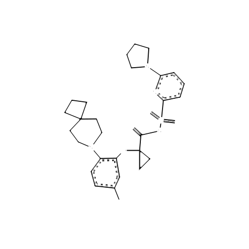 O=C(NS(=O)(=O)c1cccc(N2CCCC2)n1)C1(Oc2cc(Cl)ccc2N2CCC3(CCC3)CC2)CC1